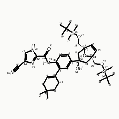 CC1(C)CC=C(c2cc([C@]3(O)C[C@@]4(CO[Si](C)(C)C(C)(C)C)C=C[C@@](CO[Si](C)(C)C(C)(C)C)(C3)O4)ccc2NC(=O)c2nc(C#N)c[nH]2)CC1